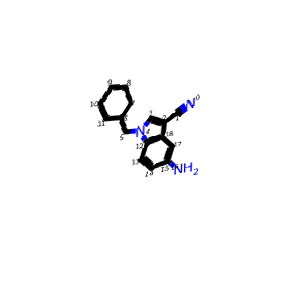 N#Cc1cn(CC2CCCCC2)c2ccc(N)cc12